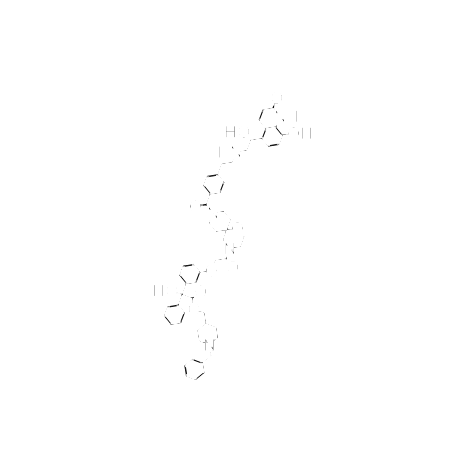 O=C(COc1cccc([C@](O)(C(=O)OCC2CCN(Cc3ccccc3)CC2)c2ccccc2)c1)N1CCOC2(CCN(C(=O)c3ccc(CCNC[C@H](O)c4ccc(O)c5[nH]c(=O)ccc45)cc3)CC2)C1